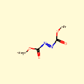 CCCCCCCOC(=O)N=NC(=O)OCCC